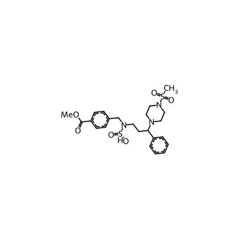 COC(=O)c1ccc(CN(CCC(c2ccccc2)N2CCN(S(C)(=O)=O)CC2)[SH](=O)=O)cc1